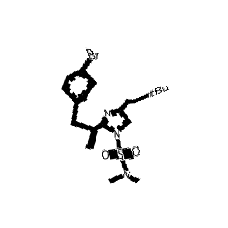 C=C(Cc1ccc(Br)cc1)c1nc(CC(C)(C)C)cn1S(=O)(=O)N(C)C